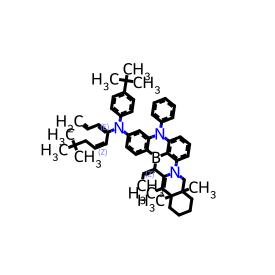 C=C/C=C(\C=C/CC(C)(C)C)N(c1ccc(C(C)(C)C)cc1)c1ccc2c(c1)N(c1ccccc1)c1cccc3c1B2/C(=C/C)C1=C(C)C2(C)CCCCC2(C)CN13